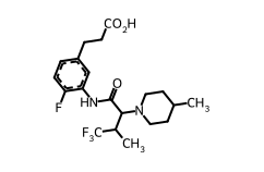 CC1CCN(C(C(=O)Nc2cc(CCC(=O)O)ccc2F)C(C)C(F)(F)F)CC1